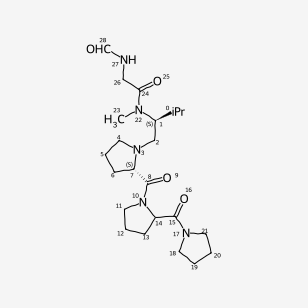 CC(C)[C@@H](CN1CCC[C@H]1C(=O)N1CCCC1C(=O)N1CCCC1)N(C)C(=O)CNC=O